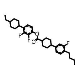 CCCCc1ccc(C2CCC(C(=O)Oc3ccc(C4CCC(CC)CC4)c(F)c3F)CC2)cc1F